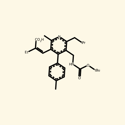 CCC(=Cc1c(C)nc(CC(C)C)c(CNC(=O)OC(C)(C)C)c1-c1ccc(C)cc1)C(=O)O